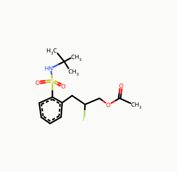 CC(=O)OCC(F)Cc1ccccc1S(=O)(=O)NC(C)(C)C